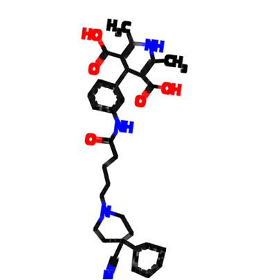 CC1=C(C(=O)O)C(c2cccc(NC(=O)CCCCN3CCC(C#N)(c4ccccc4)CC3)c2)C(C(=O)O)=C(C)N1